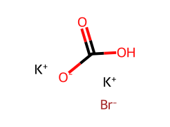 O=C([O-])O.[Br-].[K+].[K+]